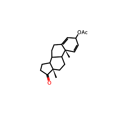 CC(=O)OC1C=C[C@@]2(C)C(=C1)CCC1C2CC[C@]2(C)C(=O)CCC12